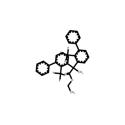 CCOC(=O)C(C)(c1cccc(-c2ccccc2)c1C(F)(F)F)c1cccc(-c2ccccc2)c1C(F)(F)F